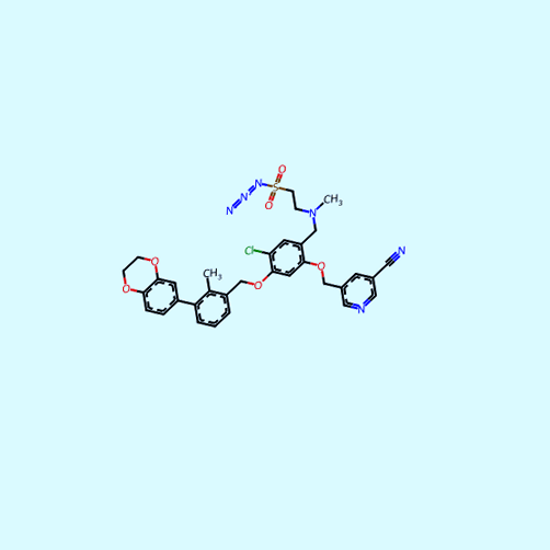 Cc1c(COc2cc(OCc3cncc(C#N)c3)c(CN(C)CCS(=O)(=O)N=[N+]=[N-])cc2Cl)cccc1-c1ccc2c(c1)OCCO2